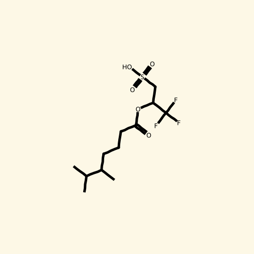 CC(C)C(C)CCCC(=O)OC(CS(=O)(=O)O)C(F)(F)F